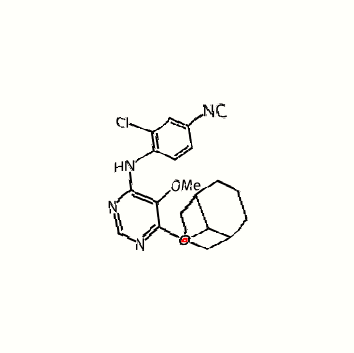 [C-]#[N+]c1ccc(Nc2ncnc(OC3C4CCCC3COC4)c2OC)c(Cl)c1